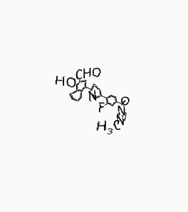 CN1CCN(C(=O)c2ccc(-c3ccc(-c4cc(C=O)c(O)c5ccccc45)nc3)c(F)c2)C1